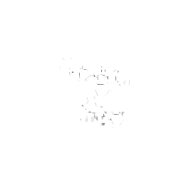 COc1ncc(-c2ccc3nc(N)n(-c4ccc(N5CCOCC5)cc4)c3c2)cc1NS(=O)(=O)c1cccnc1.O=CO